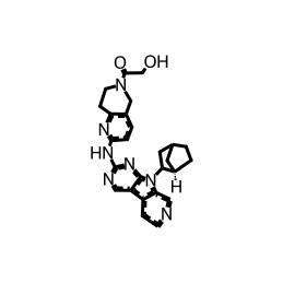 O=C(CO)N1CCc2nc(Nc3ncc4c5ccncc5n(C5CC6CC[C@@H]5C6)c4n3)ccc2C1